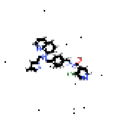 CC1=CN=C(CN(Cc2ccc(CNC(=O)c3ccncc3Cl)cc2)C2CCCc3cccnc32)C1